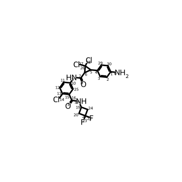 Nc1ccc(C2C(C(=O)Nc3ccc(Cl)c(C(=O)NC4CC(F)(F)C4)c3)C2(Cl)Cl)cc1